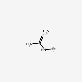 CCNC(N)=O.S